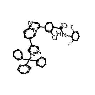 O=C(Nc1c(F)cccc1F)c1ccc(-c2cnc3ccc(-c4cnn(C(c5ccccc5)(c5ccccc5)c5ccccc5)c4)cn23)cc1Cl